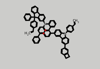 C=Cc1ccc(-n2c3ccc(-c4ccc5c(c4)CC5)cc3c3cc(-c4ccccc4-c4ccccc4N(c4ccc(-c5ccccc5)cc4)c4ccc5c(c4)C(c4ccccc4)(c4ccc(C=C)cc4)c4ccccc4-5)ccc32)cc1